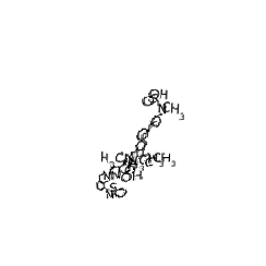 Cc1c(-c2ccc(N3CCc4cccc(-c5nc6ccccc6s5)c4C3)nc2C(=O)O)cnn1CC12CC(OCCOCCN(C)CCS(=O)O)C=C1C(C)(CC(C)C)C2